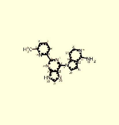 Cc1cccc(-c2nc(-n3ccc4c(N)nccc43)c3nc[nH]c3n2)n1